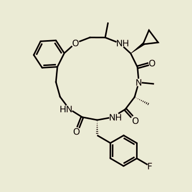 CC1COc2ccccc2CCNC(=O)[C@@H](Cc2ccc(F)cc2)NC(=O)[C@@H](C)N(C)C(=O)[C@H](C2CC2)N1